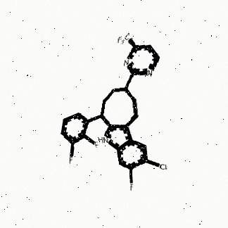 Fc1cc2[nH]c3c(c2cc1Cl)CCC(c1nccc(C(F)(F)F)n1)CCC3c1cccc(F)c1F